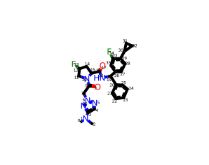 CN(C)c1cnn(CC(=O)N2CC(F)CC2C(=O)NC(c2ccccc2)c2ccc(C3CC3)c(F)c2)n1